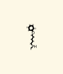 CPCCCCCOc1ccccc1